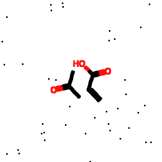 C=CC(=O)O.CC(C)=O